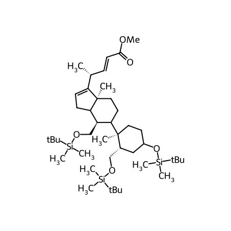 COC(=O)/C=C/[C@@H](C)C1=CCC2[C@H](CO[Si](C)(C)C(C)(C)C)C([C@@]3(C)CCC(O[Si](C)(C)C(C)(C)C)C[C@@H]3CO[Si](C)(C)C(C)(C)C)CC[C@]12C